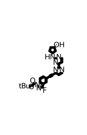 CC(C)(C)OC(=O)n1nc(F)c2cc(C#Cc3ccnc(-c4ccnc(N[C@@H]5CC[C@H](O)C5)n4)n3)ccc21